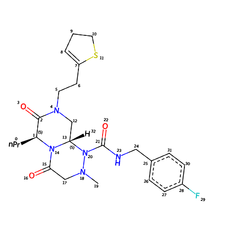 CCC[C@H]1C(=O)N(CCC2=CCCS2)C[C@H]2N1C(=O)CN(C)N2C(=O)NCc1ccc(F)cc1